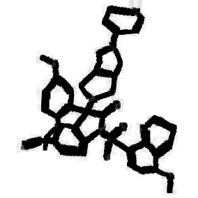 CCOc1ccc(OC)cc1C1(N2CC3CN(c4ccncc4)CC3C2)C(=O)N(S(=O)(=O)c2ccc(OC)c3cccnc23)c2ccc(C#N)cc21